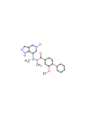 CCOc1cc(C(=O)N(C)[C@H](C)c2c[n+]([O-])cc3cn[nH]c23)ccc1-c1ccccc1